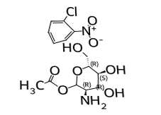 CC(=O)OC1O[C@H](CO)[C@@H](O)[C@H](O)[C@H]1N.O=[N+]([O-])c1ccccc1Cl